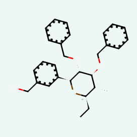 CC[C@H]1S[C@@H](c2cccc(CO)c2)[C@H](OCc2ccccc2)[C@@H](OCc2ccccc2)[C@@H]1C